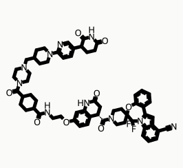 N#Cc1cccc2c1cc1n2C(F)(F)C2(CCN(C(=O)[C@H]3CC(=O)Nc4cc(OCCNC(=O)C5CCC(C(=O)N6CCN(CC7CCN(c8ccc(C9CCC(=O)NC9=O)cn8)CC7)CC6)CC5)ccc43)CC2)Oc2ccccc2-1